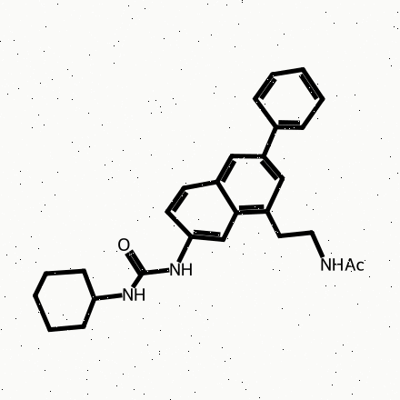 CC(=O)NCCc1cc(-c2ccccc2)cc2ccc(NC(=O)NC3CCCCC3)cc12